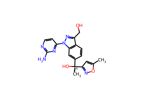 Cc1cc([C@](C)(O)c2ccc3c(CO)nn(-c4ccnc(N)n4)c3c2)no1